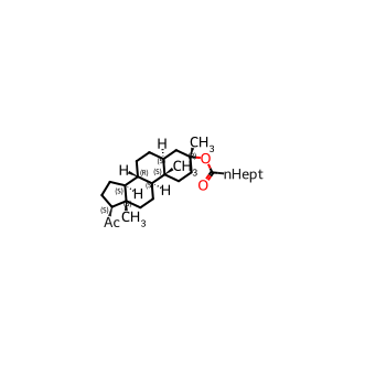 CCCCCCCC(=O)O[C@]1(C)CC[C@@]2(C)[C@@H](CC[C@@H]3[C@@H]2CC[C@]2(C)[C@@H](C(C)=O)CC[C@@H]32)C1